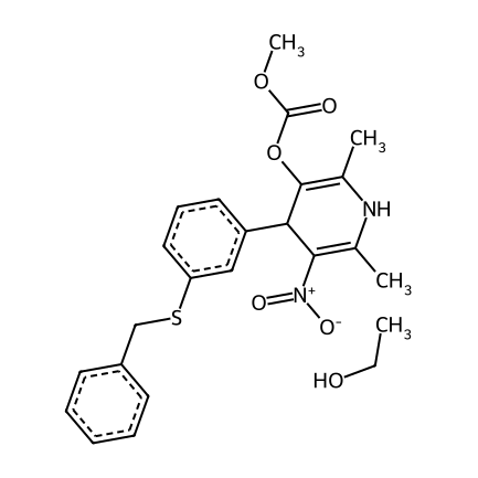 CCO.COC(=O)OC1=C(C)NC(C)=C([N+](=O)[O-])C1c1cccc(SCc2ccccc2)c1